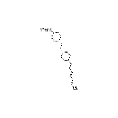 CCCCC[C@H]1CC[C@H](CC[C@H]2CC[C@H](CCC=CC=CC#N)CC2)CC1